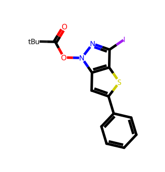 CC(C)(C)C(=O)On1nc(I)c2sc(-c3ccccc3)cc21